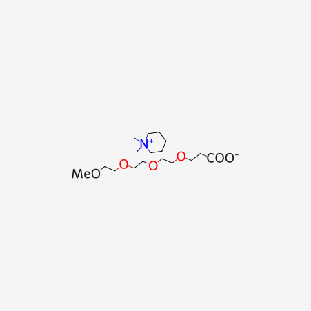 COCCOCCOCCOCCC(=O)[O-].C[N+]1(C)CCCCC1